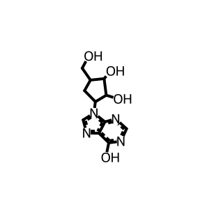 OCC1CC(n2cnc3c(O)ncnc32)C(O)C1O